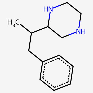 CC(Cc1ccccc1)C1CNCCN1